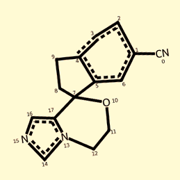 N#Cc1ccc2c(c1)C1(CC2)OCCn2cncc21